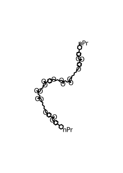 CCCC1CCC(c2ccc(OC(=O)c3ccc(OCCCCCCOC(=O)CCC(=O)OCCCOC(=O)c4ccc(OCCCOC(=O)CCC(=O)OCCCCCCOc5ccc(C(=O)Oc6ccc(C7CCC(CCC)CC7)cc6)cc5)cc4)cc3)cc2)CC1